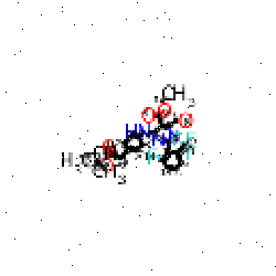 CCOC(=O)c1c(C=O)nc(-c2c(F)cccc2C(F)(F)F)nc1Nc1ccc(CC(=O)OC(C)(C)C)cc1